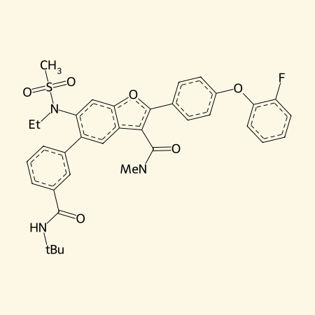 CCN(c1cc2oc(-c3ccc(Oc4ccccc4F)cc3)c(C(=O)NC)c2cc1-c1cccc(C(=O)NC(C)(C)C)c1)S(C)(=O)=O